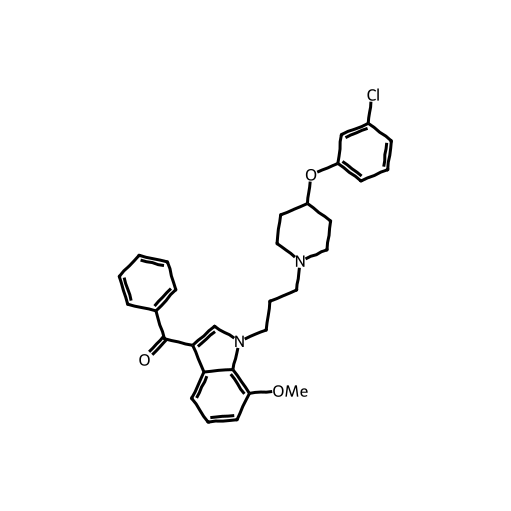 COc1cccc2c(C(=O)c3ccccc3)cn(CCCN3CCC(Oc4cccc(Cl)c4)CC3)c12